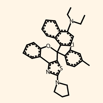 CCN(CC)c1ccc(C2(c3ccc(C)cc3Cl)Oc3ccccc3-c3nc(N4CCCC4)sc32)c2ccccc12